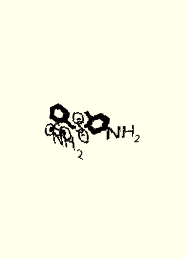 Cc1ccc(N)cc1S(=O)(=O)Cc1ccccc1S(N)(=O)=O